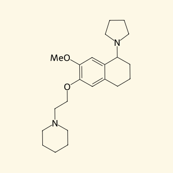 COc1cc2c(cc1OCCN1CCCCC1)CCCC2N1CCCC1